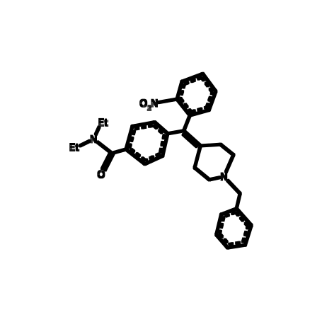 CCN(CC)C(=O)c1ccc(C(=C2CCN(Cc3ccccc3)CC2)c2ccccc2[N+](=O)[O-])cc1